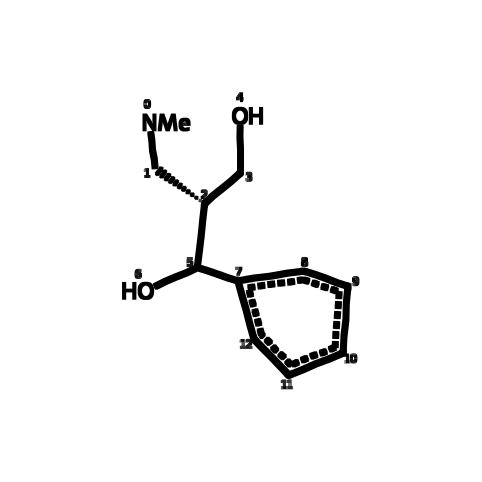 CNC[C@H](CO)C(O)c1ccccc1